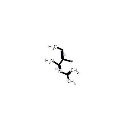 C=C(C)/N=C(N)\C(F)=C/C